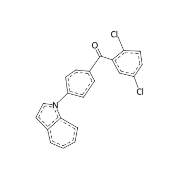 O=C(c1ccc(-n2ccc3ccccc32)cc1)c1cc(Cl)ccc1Cl